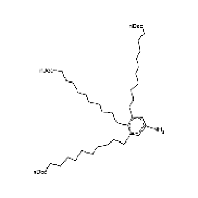 CCCCCCCCCCCCCCCCCCCCc1cc(N)cc(CCCCCCCCCCCCCCCCCCCC)c1CCCCCCCCCCCCCCCCCCCC